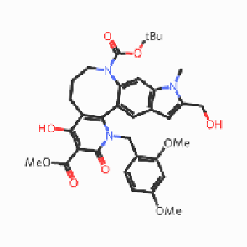 COC(=O)c1c(O)c2c(n(Cc3ccc(OC)cc3OC)c1=O)-c1cc3cc(CO)n(C)c3cc1N(C(=O)OC(C)(C)C)CCC2